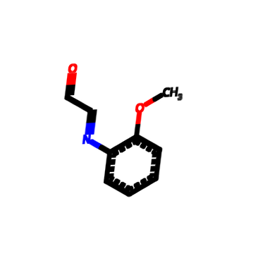 COc1ccccc1N=CC=O